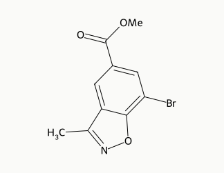 COC(=O)c1cc(Br)c2onc(C)c2c1